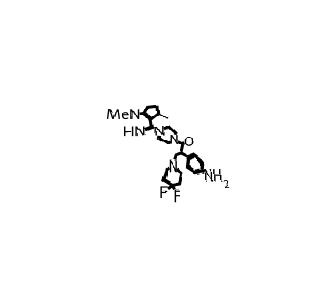 CNC1=C(C(=N)N2CCN(C(=O)C(CN3CCC(F)(F)CC3)c3ccc(N)cc3)CC2)[C@H](C)CC1